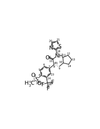 CS(=O)(=O)c1ccc([C@@H](CC2CCCC2)C(=O)Nc2nccs2)cc1C(F)(F)F